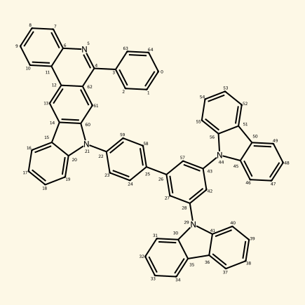 c1ccc(-c2nc3ccccc3c3cc4c5ccccc5n(-c5ccc(-c6cc(-n7c8ccccc8c8ccccc87)cc(-n7c8ccccc8c8ccccc87)c6)cc5)c4cc23)cc1